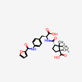 CC1(C)[C@@H](C(=O)N[C@@H](Cc2ccc(NC(=O)c3ccco3)cc2)C(=O)O)CC[C@@]1(C)C(=O)O